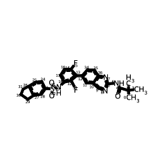 CC(C)(C)C(=O)Nc1ncc2cc(-c3c(F)ccc(NS(=O)(=O)c4ccc5c(c4)CCC5)c3F)ccc2n1